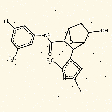 Cn1cc(C2C3OC(CC3O)C2C(=O)Nc2cc(Cl)cc(C(F)(F)F)c2)c(C(F)(F)F)n1